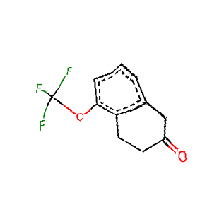 O=C1CCc2c(cccc2OC(F)(F)F)C1